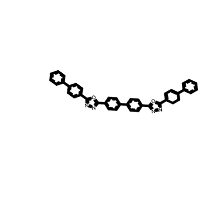 C1=C(c2ccccc2)CCC(c2nnc(-c3ccc(-c4ccc(-c5nnc(-c6ccc(-c7ccccc7)cc6)o5)cc4)cc3)o2)=C1